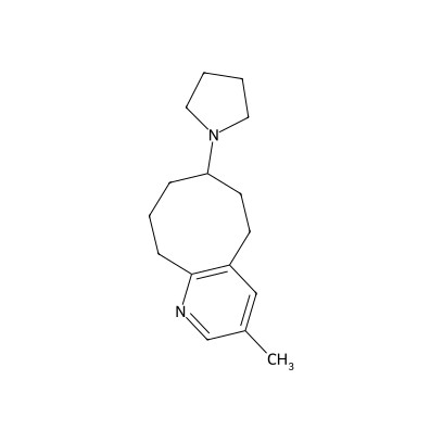 Cc1cnc2c(c1)CCC(N1CCCC1)CCC2